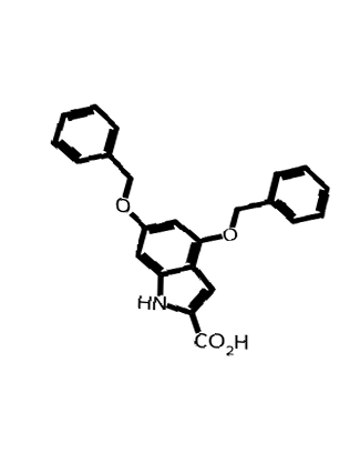 O=C(O)c1cc2c(OCc3ccccc3)cc(OCc3ccccc3)cc2[nH]1